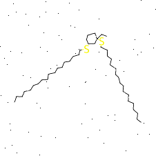 CCCCCCCCCCCCCCCCCCSC1CCCC(CC)(SCCCCCCCCCCCCCCCCCC)C1